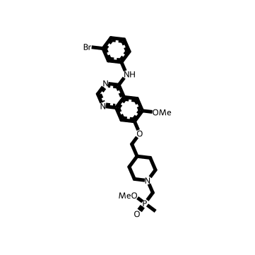 COc1cc2c(Nc3cccc(Br)c3)ncnc2cc1OCC1CCN(CP(C)(=O)OC)CC1